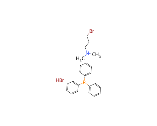 Br.CN(C)CCCBr.c1ccc(P(c2ccccc2)c2ccccc2)cc1